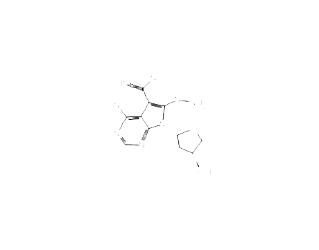 C[C@H]1O[C@@H](n2c(NN)c(C(=N)N)c3c(N)ncnc32)C[C@@H]1O